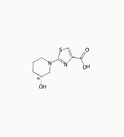 O=C(O)c1csc(N2CCC[C@@H](O)C2)n1